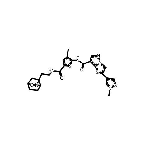 Cc1cc(C(=O)NCCN2CC3CCC2CC3)sc1NC(=O)c1cnn2cc(-c3cnn(C)c3)sc12